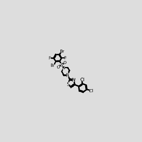 O=S(=O)(c1c(F)c(Br)cc(F)c1Br)N1CCN(c2nc(-c3ccc(Cl)cc3Cl)cs2)CC1